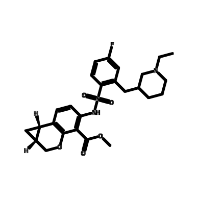 CCN1CCCC(Cc2cc(F)ccc2S(=O)(=O)Nc2ccc3c(c2C(=O)OC)OC[C@@H]2C[C@H]32)C1